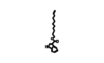 C=CCCCCCCCCCOC(=O)c1c[nH]c2ccccc12